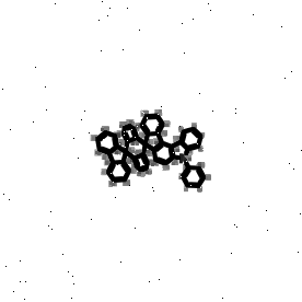 c1ccc(-n2c3ccccc3c3c4c(ccc32)C2(c3ccccc3-4)c3ccccc3C3(c4ccccc4-c4ccccc43)c3ccccc32)cc1